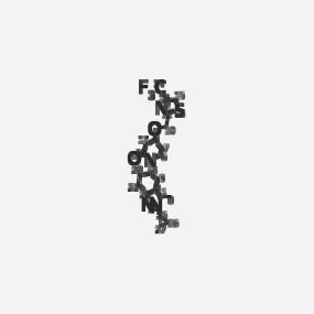 Cc1c2cc(-n3ccc(OCc4nc(C(F)(F)F)cs4)cc3=O)ccc2nn1C1CC1